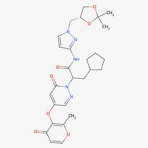 Cc1occc(=O)c1Oc1cnn(C(CC2CCCC2)C(=O)Nc2ccn(C[C@@H]3COC(C)(C)O3)n2)c(=O)c1